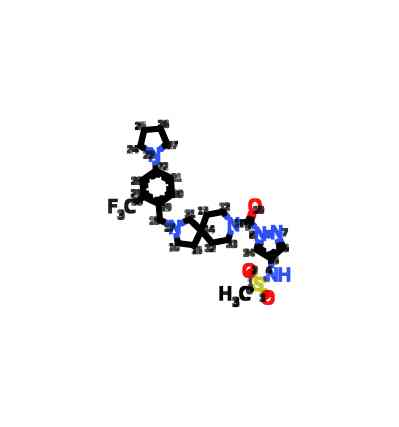 CS(=O)(=O)Nc1cnn(C(=O)N2CCC3(CCN(Cc4ccc(N5CCCC5)cc4C(F)(F)F)C3)CC2)c1